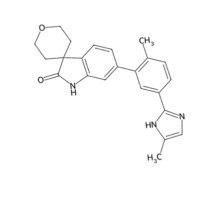 Cc1cnc(-c2ccc(C)c(-c3ccc4c(c3)NC(=O)C43CCOCC3)c2)[nH]1